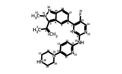 C=C(C)c1c2cc(-c3nc(Nc4ccc(N5CCNCC5)cn4)ncc3F)ccc2nn1C